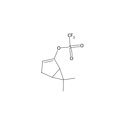 CC1(C)C2CC=C(OS(=O)(=O)C(F)(F)F)C21